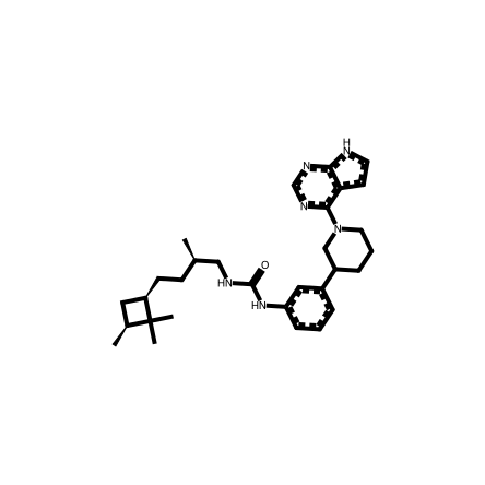 C[C@H](CC[C@@H]1C[C@H](C)C1(C)C)CNC(=O)Nc1cccc(C2CCCN(c3ncnc4[nH]ccc34)C2)c1